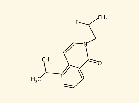 CC(F)Cn1ccc2c(C(C)C)cccc2c1=O